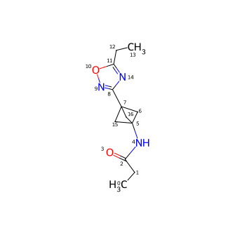 CCC(=O)NC12CC(c3noc(CC)n3)(C1)C2